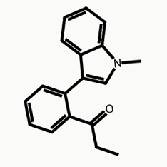 CCC(=O)c1ccccc1-c1cn(C)c2ccccc12